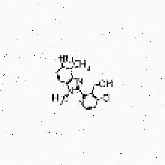 CC1c2nc(-c3nccc(Cl)c3CO)n(C)c2C=CC1C(C)(C)C